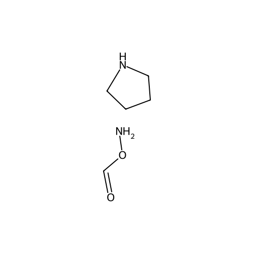 C1CCNC1.NOC=O